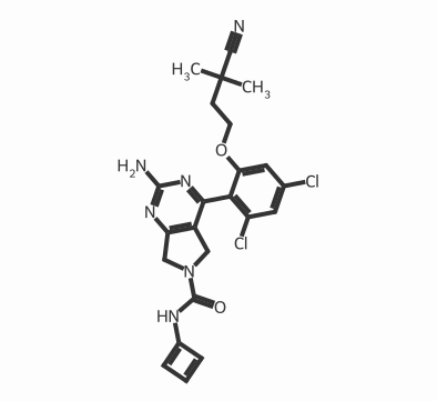 CC(C)(C#N)CCOc1cc(Cl)cc(Cl)c1-c1nc(N)nc2c1CN(C(=O)NC1=CC=C1)C2